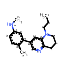 CCCN1CCCc2ncc(-c3cc(NC)ccc3C)cc21